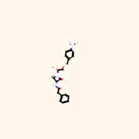 O=C(Cc1ccccc1)NC1C(=O)N(C(O)C(=O)OCc2ccc([N+](=O)[O-])cc2)C1S